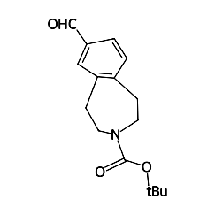 CC(C)(C)OC(=O)N1CCc2ccc(C=O)cc2CC1